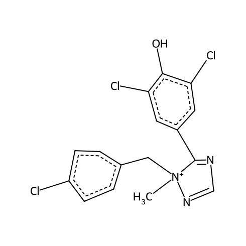 C[N+]1(Cc2ccc(Cl)cc2)N=CN=C1c1cc(Cl)c(O)c(Cl)c1